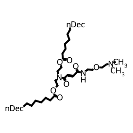 CCCCCCCCCCCCCCCCC(=O)OCCN(CCOC(=O)CCCCCCCCCCCCCCCC)C(=O)C=CC(=O)NCCOCCN(C)C